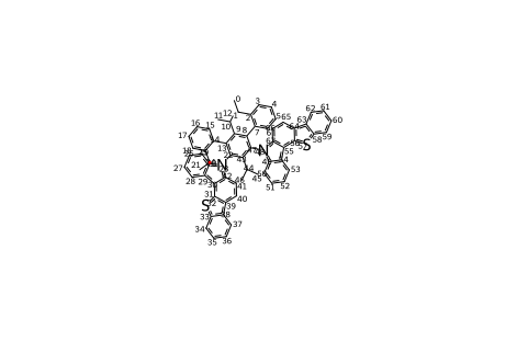 CCc1ccccc1-c1c(C(C)C)c(-c2ccccc2CC)c(-n2c3ccccc3c3c4sc5ccccc5c4ccc32)c(C(C)C)c1-n1c2ccccc2c2c3sc4ccccc4c3ccc21